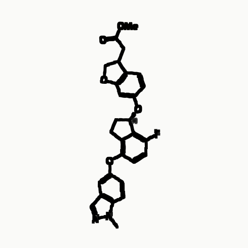 COC(=O)CC1COc2cc(O[C@@H]3CCc4c(Oc5ccc6c(cnn6C)c5)ccc(F)c43)ccc21